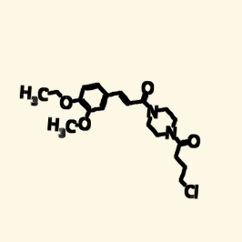 CCOc1ccc(C=CC(=O)N2CCN(C(=O)CCCCl)CC2)cc1OC